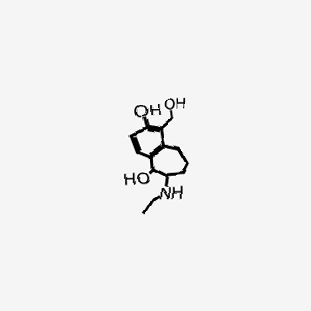 CCNC1CCCc2c(ccc(O)c2CO)C1O